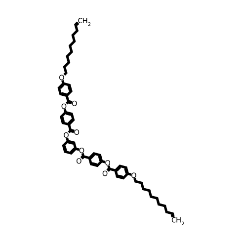 C=CCCCCCCCCCOc1ccc(C(=O)Oc2ccc(C(=O)Oc3cccc(OC(=O)c4ccc(OC(=O)c5ccc(OCCCCCCCCCC=C)cc5)cc4)c3)cc2)cc1